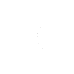 CC(C)(C)OC(=O)N1CC(CO)(CO)C1